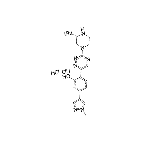 Cl.Cl.Cn1cc(-c2ccc(-c3cnc(N4CCN[C@@H](C(C)(C)C)C4)nn3)c(O)c2)cn1